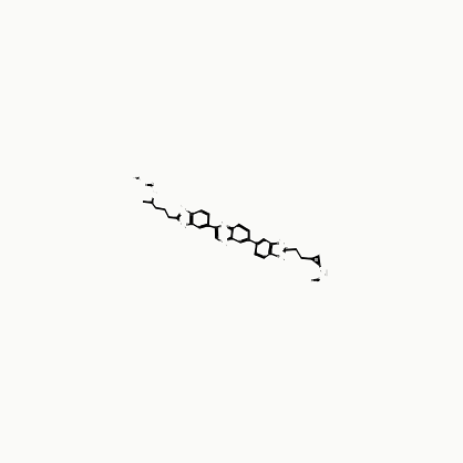 CC(CCCc1nc2ccc(-c3cnc4cc(-c5ccc6nc(CCC7CC7NC(=O)OC(C)(C)C)[nH]c6c5)ccc4n3)cc2[nH]1)NC(=O)OC(C)(C)C